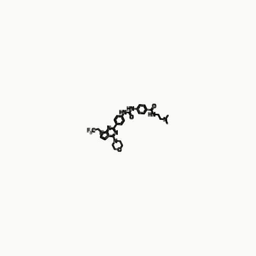 CN(C)CCNC(=O)c1ccc(NC(=O)Nc2ccc(-c3nc(N4CCOCC4)c4ccn(CC(F)(F)F)c4n3)cc2)cc1